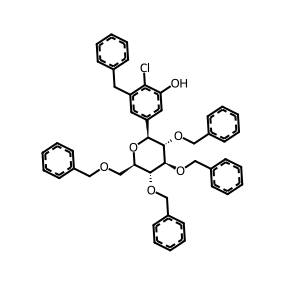 Oc1cc([C@@H]2O[C@H](COCc3ccccc3)[C@@H](OCc3ccccc3)[C@H](OCc3ccccc3)[C@H]2OCc2ccccc2)cc(Cc2ccccc2)c1Cl